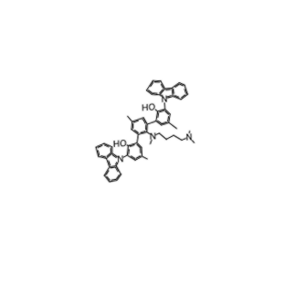 Cc1cc(-c2cc(C)cc(-n3c4ccccc4c4ccccc43)c2O)c(N(C)CCCCN(C)C)c(-c2cc(C)cc(-n3c4ccccc4c4ccccc43)c2O)c1